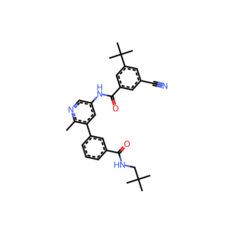 Cc1ncc(NC(=O)c2cc(C#N)cc(C(C)(C)C)c2)cc1-c1cccc(C(=O)NCC(C)(C)C)c1